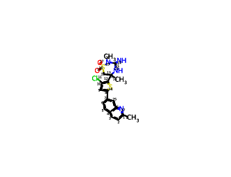 Cc1ccc2ccc(-c3cc(Cl)c([C@]4(C)CS(=O)(=O)N(C)C(=N)N4)s3)cc2n1